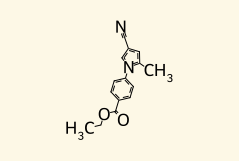 CCOC(=O)c1ccc(-n2cc(C#N)cc2C)cc1